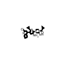 CCC[C@@H]1CN(c2nc(C3CC3)c(-c3cc(Cl)nc4ccccc34)cc2N)CCN1C(=O)C1CC1